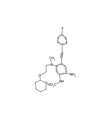 CN(CCOC1CCCCO1)c1cc(NC(=O)O)c(N)cc1C#Cc1ccc(F)cc1